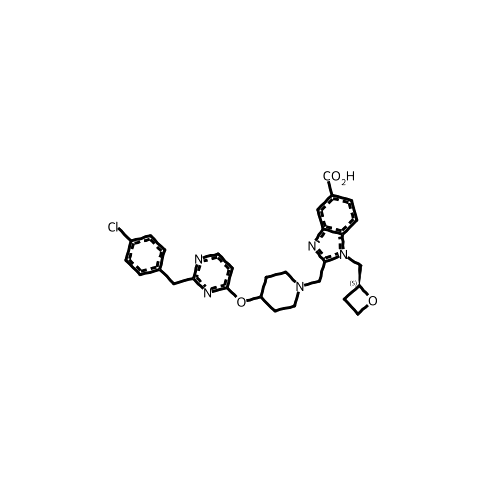 O=C(O)c1ccc2c(c1)nc(CN1CCC(Oc3ccnc(Cc4ccc(Cl)cc4)n3)CC1)n2C[C@@H]1CCO1